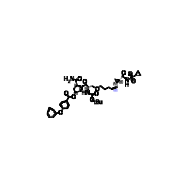 CC(C)(C)OC(=O)N[C@@H](COCCC/C=C\[C@@H]1C[C@@H]1C(=O)NS(=O)(=O)C1CC1)C(=O)N1C[C@H](OC(=O)c2ccc(Oc3ccccc3)cc2)C[C@H]1C(N)=O